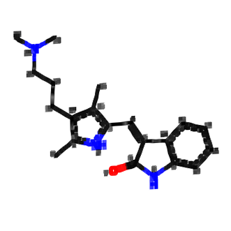 Cc1[nH]c(/C=C2\C(=O)Nc3ccccc32)c(C)c1CCCN(C)C